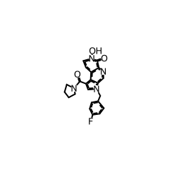 O=C(c1cn(Cc2ccc(F)cc2)c2cnc3c(=O)n(O)ccc3c12)N1CCCC1